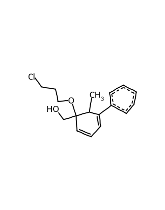 CC1C(c2ccccc2)=CC=CC1(CO)OCCCCl